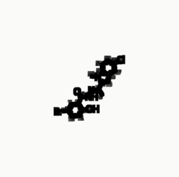 C/C(=N\NC(=O)c1cc(Br)ccc1O)c1cc2cc(Cl)ccc2n1C